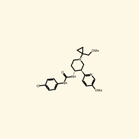 COCC1(N2CC[C@@H](NC(=O)Nc3ccc(Cl)cc3)[C@H](c3ccc(OC)cn3)C2)CC1